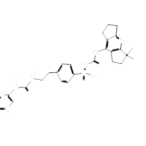 Cc1cnc(NC(=O)NCCc2ccc(S(N)(=O)=NC(=O)Nc3c4c(nc5c3CCC5(C)C)CCC4)cc2)cn1